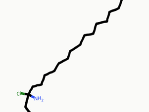 CCCCCCCCCCCCCCCC(N)(Cl)CC